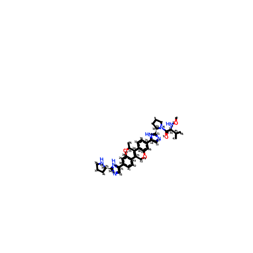 CON[C@H](C(=O)N1CCC[C@H]1c1ncc(-c2ccc3c(c2)OCC2=C3C(C)Oc3cc(-c4cnc([C@@H]5CCCN5)[nH]4)ccc32)[nH]1)C(C)C